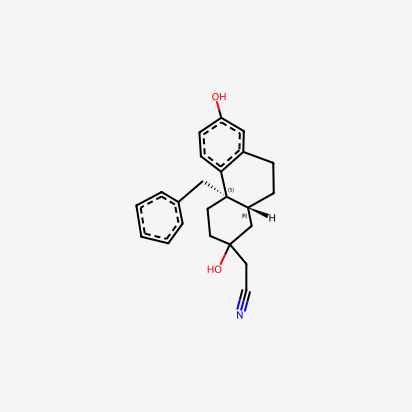 N#CCC1(O)CC[C@@]2(Cc3ccccc3)c3ccc(O)cc3CC[C@@H]2C1